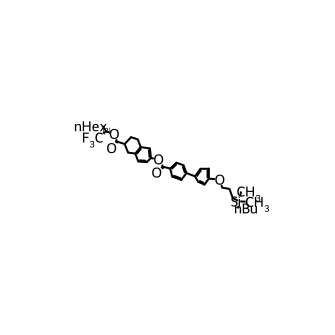 CCCCCC[C@@H](OC(=O)C1CCc2cc(OC(=O)c3ccc(-c4ccc(OCCC[Si](C)(C)CCCC)cc4)cc3)ccc2C1)C(F)(F)F